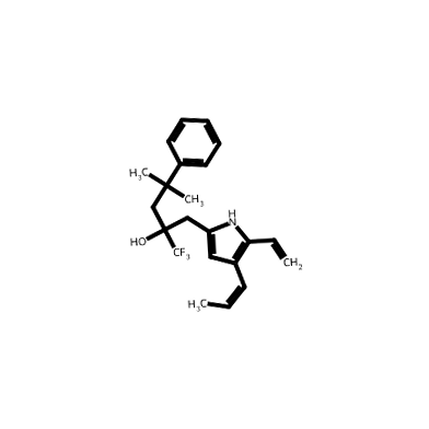 C=Cc1[nH]c(CC(O)(CC(C)(C)c2ccccc2)C(F)(F)F)cc1/C=C\C